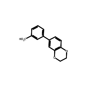 O=C(O)c1cccc(-c2ccc3c(c2)OCCO3)c1